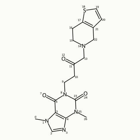 Cn1cnc2c1c(=O)n(CCC(=O)CN1CCc3sccc3C1)c(=O)n2C